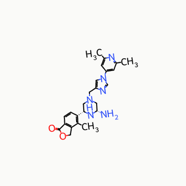 Cc1cc(-n2cnc(CN3C[C@@H](c4ccc5c(c4C)COC5=O)N[C@@H](N)C3)c2)cc(C)n1